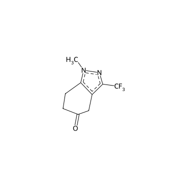 Cn1nc(C(F)(F)F)c2c1CCC(=O)C2